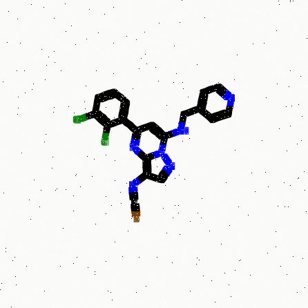 S=C=Nc1cnn2c(NCc3ccncc3)cc(-c3cccc(Cl)c3Cl)nc12